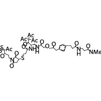 CNC(=O)CCNC(=O)CCc1ccc(CC(=O)COCC(=O)NC[C@@H](NC(=O)CCSC2CC(=O)N(CCC(=O)C3(C(C)=O)SS3)C2=O)C(=O)C(C(C)=O)(C(C)=O)C(C)=O)cc1